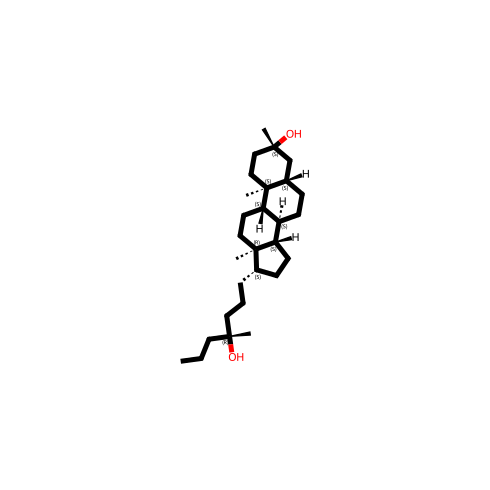 CCC[C@@](C)(O)CCC[C@H]1CC[C@H]2[C@@H]3CC[C@H]4C[C@@](C)(O)CC[C@]4(C)[C@H]3CC[C@]12C